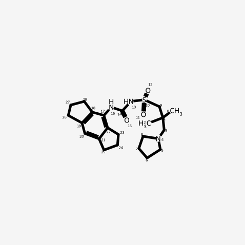 CC(C)(CN1CCCC1)CS(=O)(=O)NC(=O)Nc1c2c(cc3c1CCC3)CCC2